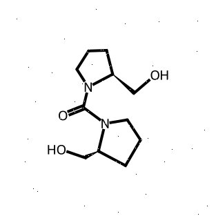 O=C(N1CCC[C@H]1CO)N1CCC[C@H]1CO